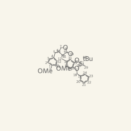 COc1ccc(C[C@H]2COC(=O)[C@@H]2Cc2ccc(OCc3ccccc3)c(O[Si](C)(C)C(C)(C)C)c2)cc1OC